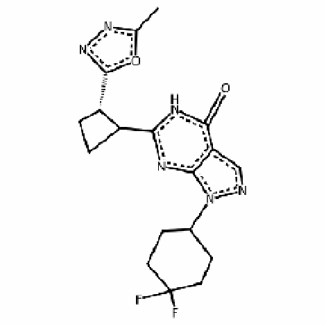 Cc1nnc([C@H]2CCC2c2nc3c(cnn3C3CCC(F)(F)CC3)c(=O)[nH]2)o1